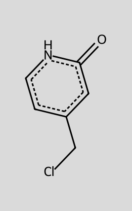 O=c1cc(CCl)cc[nH]1